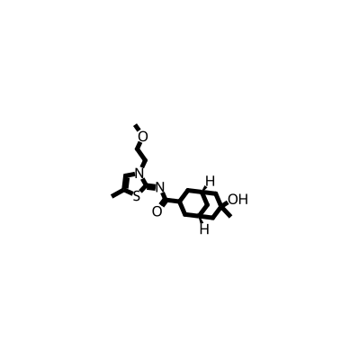 COCCn1cc(C)sc1=NC(=O)C1C[C@@H]2C[C@H](C1)CC(C)(O)C2